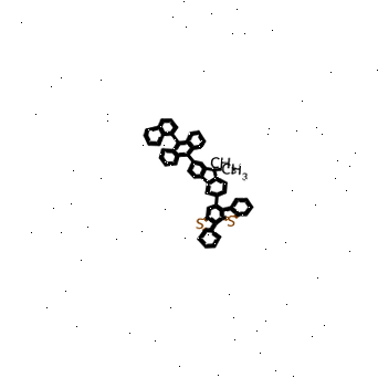 CC1(C)c2ccc(-c3cc4sc5ccccc5c4c4sc5ccccc5c34)cc2-c2ccc(-c3c4ccccc4c(-c4cccc5ccccc45)c4ccccc34)cc21